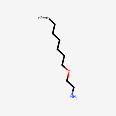 CCCCCCCCCCCOCCN